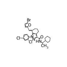 C[C@@H](NC(=O)c1nn(-c2ccc(Cl)cc2Cl)c2c1CCC/C2=C\c1ccc(Br)o1)C1CCCCC1